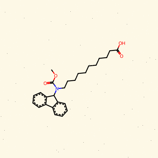 COC(=O)N(CCCCCCCCCCC(=O)O)C1c2ccccc2-c2ccccc21